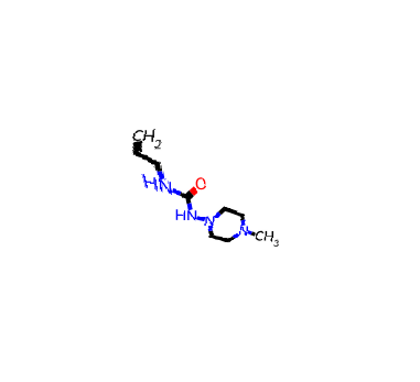 C=CCNC(=O)NN1CCN(C)CC1